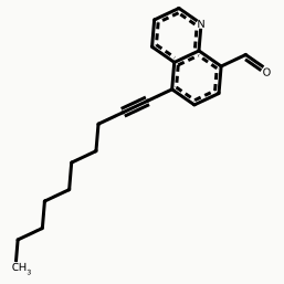 CCCCCCCCC#Cc1ccc(C=O)c2ncccc12